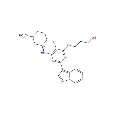 O=C(O)N1CCC[C@@H](Nc2nc(-c3cnn4ccccc34)nc(OCCCO)c2F)C1